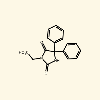 O=C(O)CN1C(=O)NC(c2ccccc2)(c2ccccc2)C1=O